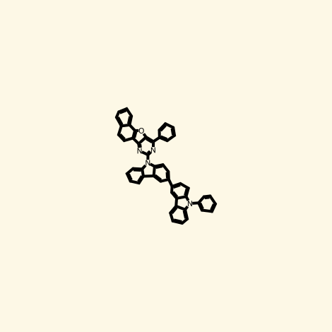 c1ccc(-c2nc(-n3c4ccccc4c4cc(-c5ccc6c(c5)c5ccccc5n6-c5ccccc5)ccc43)nc3c2oc2c4ccccc4ccc32)cc1